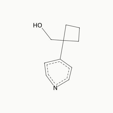 OCC1(c2ccncc2)CCC1